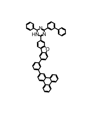 c1ccc(-c2cccc(C3=NC(c4ccccc4)NC(c4ccc5c(c4)oc4ccc(-c6cccc(-c7ccc8c9ccccc9c9ccccc9c8c7)c6)cc45)=N3)c2)cc1